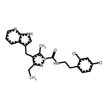 CCc1nn(C(=O)NCCc2ccc(Cl)cc2Cl)c(C)c1Cc1c[nH]c2ncccc12